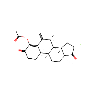 C=C1C2=C(OC(C)=O)C(=O)CC[C@]2(C)[C@H]2CC[C@]3(C)C(=O)[C@@H](F)C[C@H]3[C@@H]2[C@@H]1C